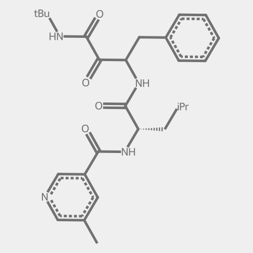 Cc1cncc(C(=O)N[C@@H](CC(C)C)C(=O)NC(Cc2ccccc2)C(=O)C(=O)NC(C)(C)C)c1